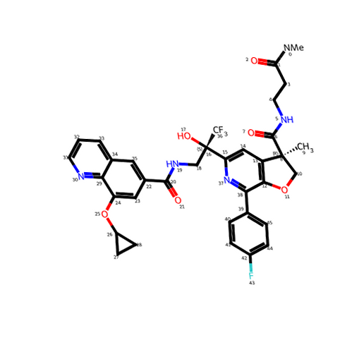 CNC(=O)CCNC(=O)[C@@]1(C)COc2c1cc([C@@](O)(CNC(=O)c1cc(OC3CC3)c3ncccc3c1)C(F)(F)F)nc2-c1ccc(F)cc1